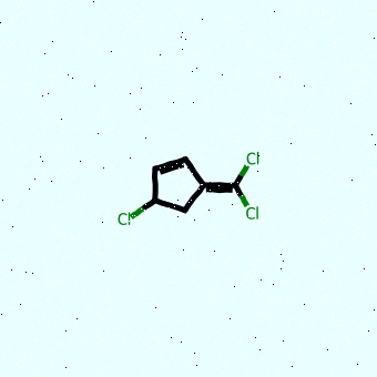 ClC(Cl)=C1C=CC(Cl)C1